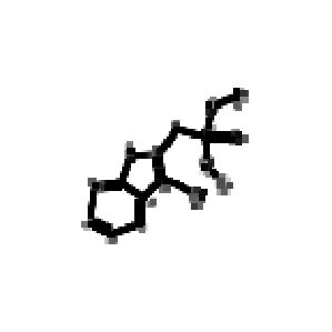 CCOP(=O)(Cc1sc2ccccc2c1Br)OCC